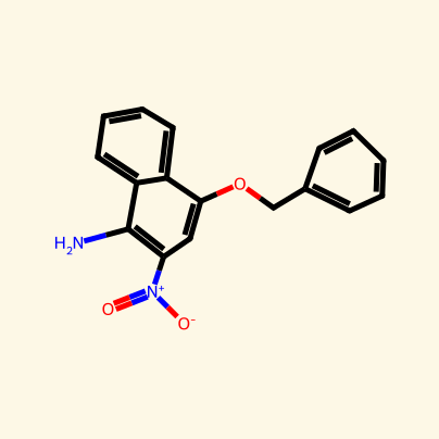 Nc1c([N+](=O)[O-])cc(OCc2ccccc2)c2ccccc12